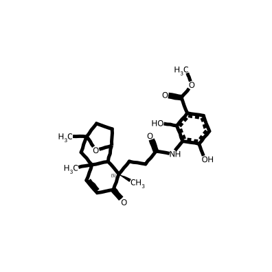 COC(=O)c1ccc(O)c(NC(=O)CC[C@]2(C)C(=O)C=CC3(C)CC4(C)CCC(O4)C32)c1O